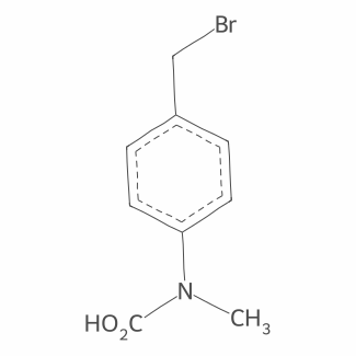 CN(C(=O)O)c1ccc(CBr)cc1